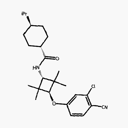 CC(C)[C@H]1CC[C@H](C(=O)N[C@H]2C(C)(C)[C@H](Oc3ccc(C#N)c(Cl)c3)C2(C)C)CC1